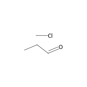 CCC=O.CCl